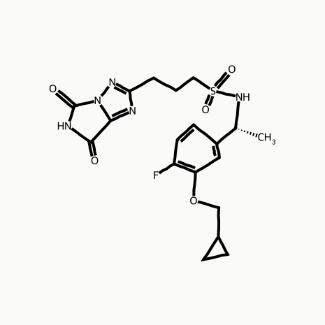 C[C@@H](NS(=O)(=O)CCCc1nc2n(n1)C(=O)NC2=O)c1ccc(F)c(OCC2CC2)c1